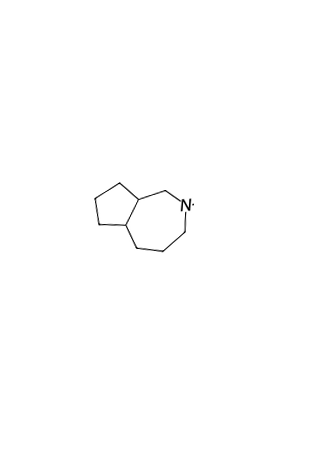 C1C[N]CC2CCCC2C1